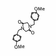 COc1ccc(CN2CC(=O)N(Cc3ccc(OC)cc3)CC2=O)cc1